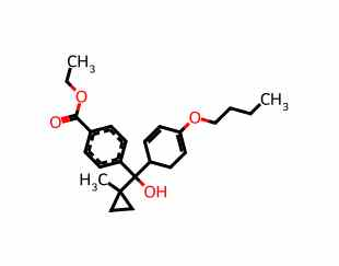 CCCCOC1=CCC(C(O)(c2ccc(C(=O)OCC)cc2)C2(C)CC2)C=C1